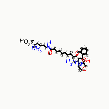 NC(CCCCNC(=O)CCCCCCCCC(=O)[C@H]([C@H](O)c1ccccc1)[C@@H](N)N1CCOCC1)C(=O)O